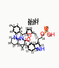 Cc1ccc(C(NC(=O)C2(c3ccc4[nH]cc(CCO[PH](=O)O)c4c3)CC2)c2ccc(C)o2)c(N2CCCCC2)c1.[NaH].[NaH]